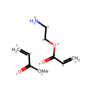 C=CC(=O)OC.C=CC(=O)OCCN